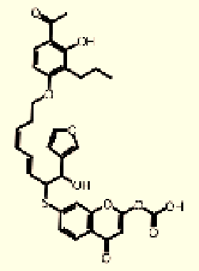 CCCc1c(OCC/C=C\C=C\C(Sc2ccc3c(=O)cc(OC(=O)O)oc3c2)C(O)c2ccoc2)ccc(C(C)=O)c1O